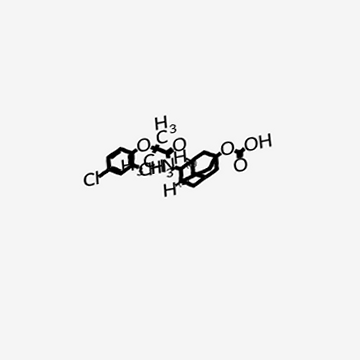 Cc1cc(Cl)ccc1OC(C)(C)C(=O)NC1[C@@H]2CC3C[C@H]1CC(OC(=O)O)(C3)C2